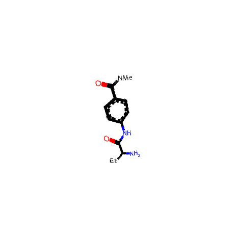 CCC(N)C(=O)Nc1ccc(C(=O)NC)cc1